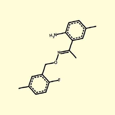 C/C(=N\OCc1cc(C)ccc1F)c1cc(C)ccc1N